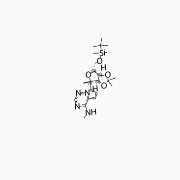 CNc1ncnn2c([C@]3(C)O[C@H](CO[Si](C)(C)C(C)(C)C)[C@H]4OC(C)(C)O[C@H]43)ccc12